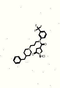 CN1CC(C(=O)N(CCCN2CCC(Cc3ccccc3)CC2)c2cccc(C(F)(F)F)c2)CC1=O.Cl